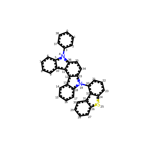 c1ccc(-n2c3ccccc3c3c4c5ccccc5n(-c5cccc6sc7ccccc7c56)c4ccc32)cc1